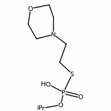 CC(C)OP(=O)(O)SCCN1CCOCC1